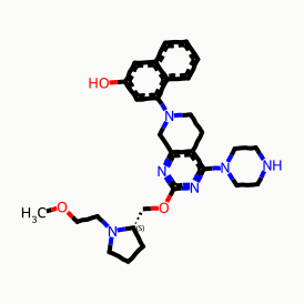 COCCN1CCC[C@H]1COc1nc2c(c(N3CCNCC3)n1)CCN(c1cc(O)cc3ccccc13)C2